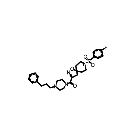 O=C(C1=NOC2(CCN(S(=O)(=O)c3ccc(F)cc3)CC2)C1)N1CCN(CCCc2ccccc2)CC1